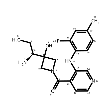 CC[C@H](N)C1(O)CN(C(=O)c2ccncc2Nc2ccc(C)cc2F)C1